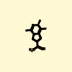 CC1=N[C@@H](C)C(C)=C2CC(C(=N)N)CN12